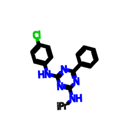 CC(C)Nc1nc(Nc2ccc(Cl)cc2)nc(-c2ccccc2)n1